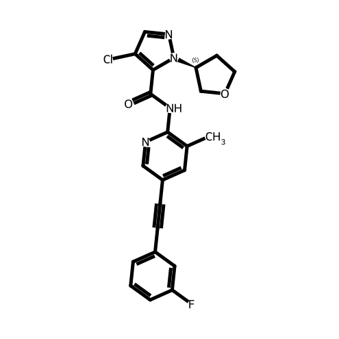 Cc1cc(C#Cc2cccc(F)c2)cnc1NC(=O)c1c(Cl)cnn1[C@H]1CCOC1